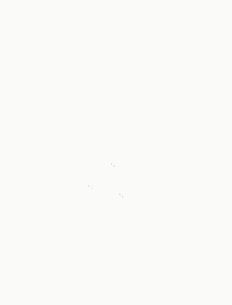 c1ccc(-c2ccc(-c3nc(-c4cccc(-c5ccccc5)c4)nc(-c4cccc5oc6c(-c7ccc(-c8ccccc8)c(-c8ccccc8)c7)cccc6c45)n3)cc2)cc1